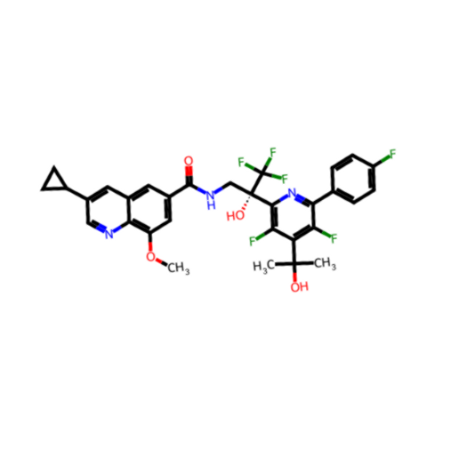 COc1cc(C(=O)NC[C@](O)(c2nc(-c3ccc(F)cc3)c(F)c(C(C)(C)O)c2F)C(F)(F)F)cc2cc(C3CC3)cnc12